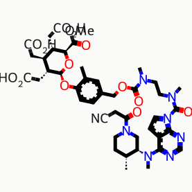 COC(=O)[C@H]1O[C@@H](Oc2ccc(COC(=O)N(C)CCN(C)C(=O)n3ccc4c(N(C)[C@H]5CN(C(=O)CC#N)CC[C@H]5C)ncnc43)cc2C)[C@H](CC(=O)O)[C@@H](CC(=O)O)[C@@H]1CC(=O)O